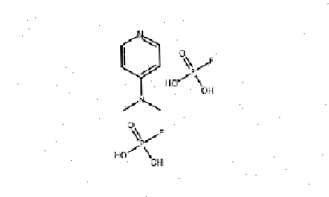 CN(C)c1ccncc1.O=P(O)(O)F.O=P(O)(O)F